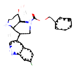 O=C(OCc1ccccc1)N1CC(c2c[nH]c3cc(F)ccc23)[C@H]2NC[C@@H](O)[C@H]21